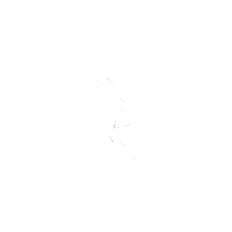 CC[C@@H](C(=O)N[C@@H]1C(=O)Nc2ccc(F)cc2OC12CCOCC2)N(C)C(=O)OC(C)(C)C